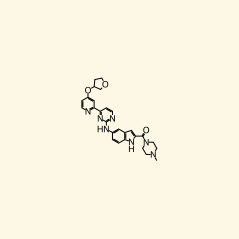 CN1CCN(C(=O)c2cc3cc(Nc4nccc(-c5cc(OC6CCOC6)ccn5)n4)ccc3[nH]2)CC1